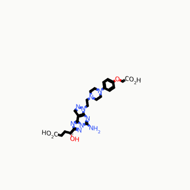 Nc1nc2c(cnn2CCN2CCN(c3ccc(OCC(=O)O)cc3)CC2)c2nc([C@H](O)CCC(=O)O)nn12